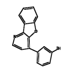 [2H]c1cccc(-c2ccnc3c2oc2ccccc23)c1